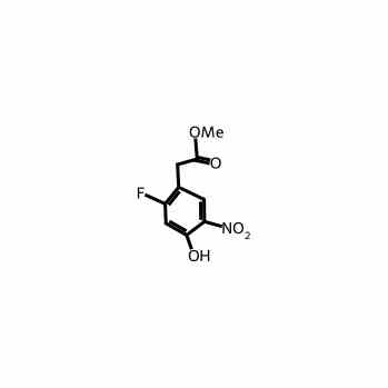 COC(=O)Cc1cc([N+](=O)[O-])c(O)cc1F